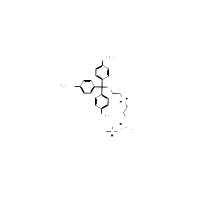 COc1ccc(C(OCCS(=O)(=O)CCOP(=O)(O)OP(=O)(O)O)(c2ccc(OC)cc2)c2ccc(OC)cc2)cc1